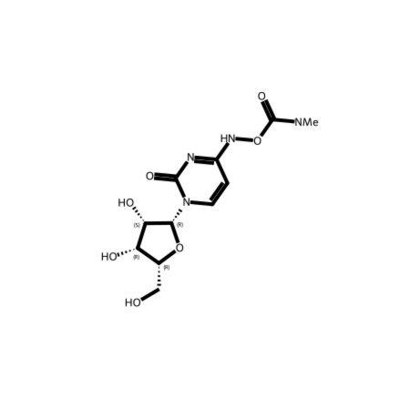 CNC(=O)ONc1ccn([C@@H]2O[C@H](CO)[C@H](O)[C@@H]2O)c(=O)n1